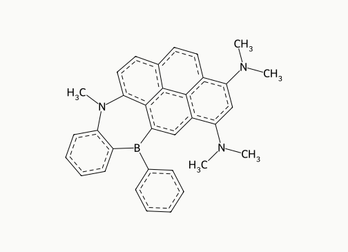 CN(C)c1cc(N(C)C)c2cc3c4c(ccc5ccc1c2c54)N(C)c1ccccc1B3c1ccccc1